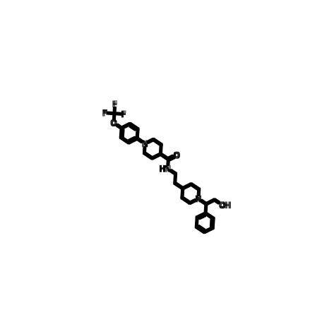 O=C(NCCC1CCN(C(CO)c2ccccc2)CC1)C1CCN(c2ccc(OC(F)(F)F)cc2)CC1